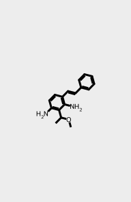 COC(C)c1c(N)ccc(C=Cc2ccccc2)c1N